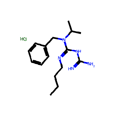 CCCCN=C(NC(=N)N)N(Cc1ccccc1)C(C)C.Cl